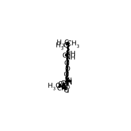 CC(C)(C)CCCCNC(=O)NCCOCCOCCOCCn1cc(CN2C(=O)C=C(C(C)(C)C)C2=O)nn1